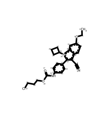 CCOc1ccc2c(C#N)c(-c3ccc(NC(=O)OCCCCl)cc3)n(C3CCC3)c2c1